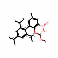 COCOc1c(B(O)O)cc(C)cc1-c1c(C(C)C)cc(C(C)C)cc1C(C)C